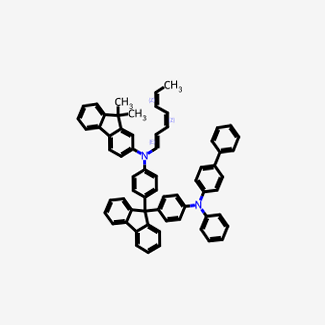 C\C=C/C=C\C=C\N(c1ccc(C2(c3ccc(N(c4ccccc4)c4ccc(-c5ccccc5)cc4)cc3)c3ccccc3-c3ccccc32)cc1)c1ccc2c(c1)C(C)(C)c1ccccc1-2